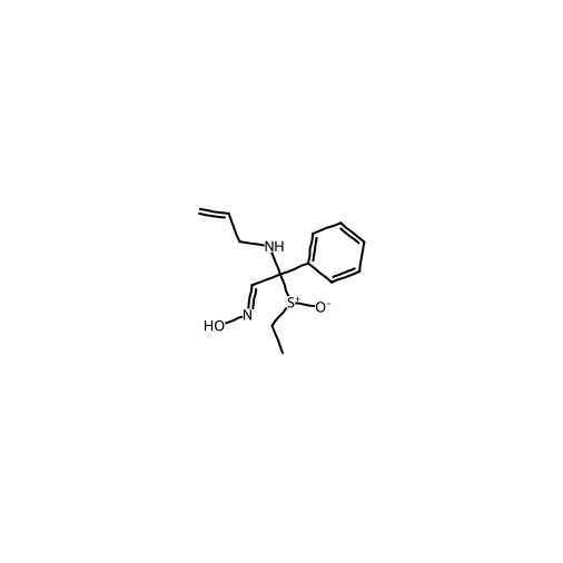 C=CCNC(C=NO)(c1ccccc1)[S+]([O-])CC